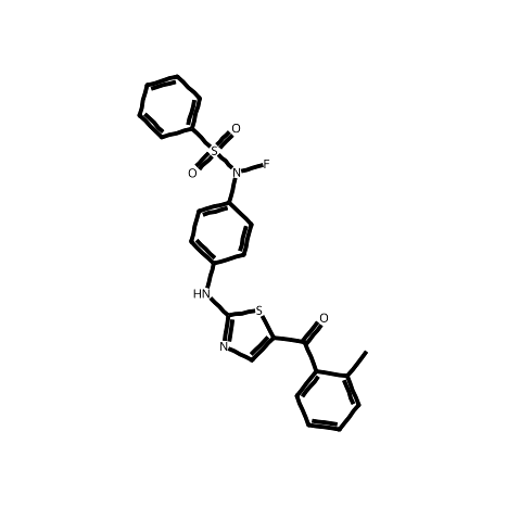 Cc1ccccc1C(=O)c1cnc(Nc2ccc(N(F)S(=O)(=O)c3ccccc3)cc2)s1